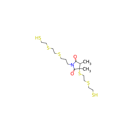 CC1C(=O)N(CCCSCCSCCS)C(=O)C1(C)SCCSCCS